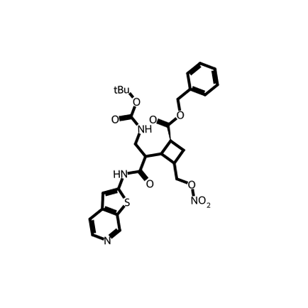 CC(C)(C)OC(=O)NCC(C(=O)Nc1cc2ccncc2s1)C1C(CO[N+](=O)[O-])C[C@@H]1C(=O)OCc1ccccc1